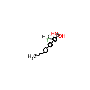 CCCCCC1CCC(c2ccc(-c3ccc(B(O)O)cc3CC)c(F)c2)CC1